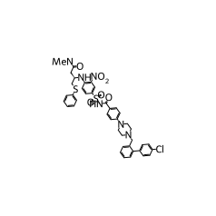 CNC(=O)C[C@H](CSc1ccccc1)Nc1ccc(S(=O)(=O)NC(=O)c2ccc(N3CCN(Cc4ccccc4-c4ccc(Cl)cc4)CC3)cc2)cc1[N+](=O)[O-]